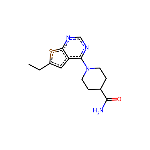 CCc1cc2c(N3CCC(C(N)=O)CC3)ncnc2s1